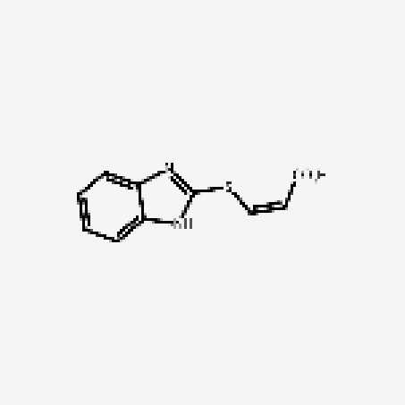 O=C(O)/C=C\Sc1nc2ccccc2[nH]1